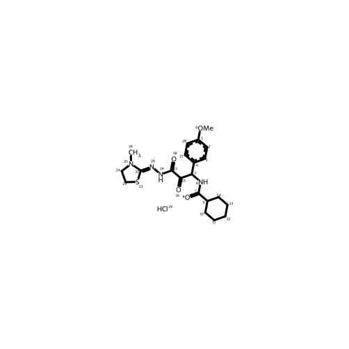 COc1ccc(C(NC(=O)C2CCCCC2)C(=O)C(=O)N/N=C2\SCCN2C)cc1.Cl